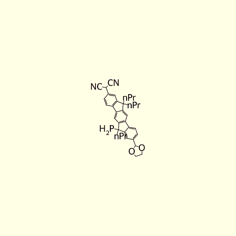 CCCC1(P)c2cc(C3OCCO3)ccc2-c2cc3c(cc21)-c1ccc(C(C#N)C#N)cc1C3(CCC)CCC